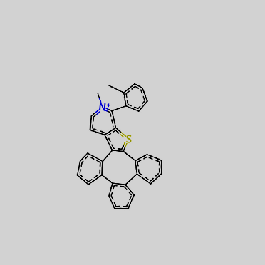 Cc1ccccc1-c1c2sc3c(c2cc[n+]1C)-c1ccccc1-c1ccccc1-c1ccccc1-3